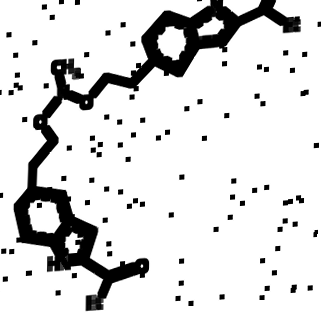 CCC(=O)c1cc2cc(CCON(C)OCCc3ccc4[nH]c(C(=O)CC)cc4c3)ccc2[nH]1